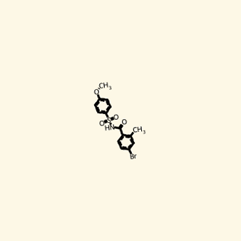 COc1ccc(S(=O)(=O)NC(=O)c2ccc(Br)cc2C)cc1